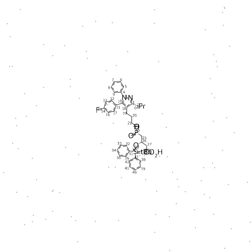 CC(C)c1nn(-c2ccccc2)c(-c2ccc(F)cc2)c1CCCO[PH](=O)CC(CC(=O)O)O[Si](c1ccccc1)(c1ccccc1)C(C)(C)C